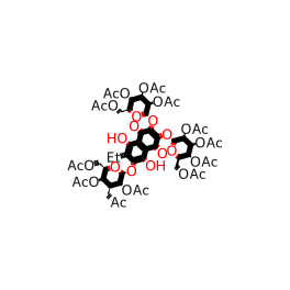 CCc1c(O)c2c(c(O)c1O[C@H]1O[C@@H](COC(C)=O)[C@H](OC(C)=O)[C@@H](CC(C)=O)[C@@H]1OC(C)=O)C(=O)C(O[C@@H]1O[C@H](COC(C)=O)[C@@H](OC(C)=O)[C@H](OC(C)=O)[C@H]1OC(C)=O)=C(O[C@@H]1O[C@H](COC(C)=O)[C@@H](OC(C)=O)[C@H](OC(C)=O)[C@H]1OC(C)=O)C2=O